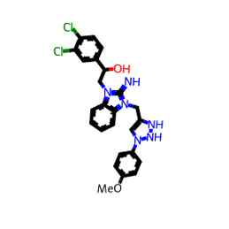 COc1ccc(N2C=C(Cn3c(=N)n(CC(O)c4ccc(Cl)c(Cl)c4)c4ccccc43)NN2)cc1